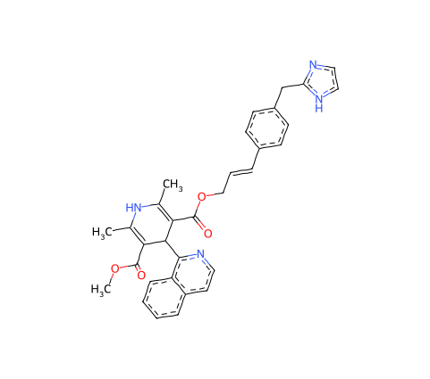 COC(=O)C1=C(C)NC(C)=C(C(=O)OCC=Cc2ccc(Cc3ncc[nH]3)cc2)C1c1nccc2ccccc12